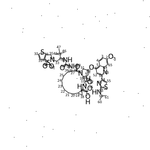 COc1ccc2c(O[C@@H]3C[C@H]4C(=O)N[C@]5(C(=O)O)CC5CCCCCCC[C@H](NC(=O)NC(CN5Cc6sccc6S5(=O)=O)C(C)(C)C)C(=O)N4C3)cc(-c3csc(NC(C)C)n3)nc2c1